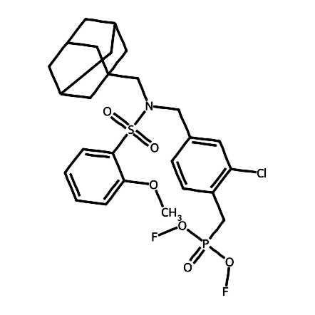 COc1ccccc1S(=O)(=O)N(Cc1ccc(CP(=O)(OF)OF)c(Cl)c1)CC12CC3CC(CC(C3)C1)C2